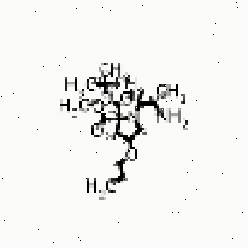 C=CCOC1CN(C(=O)[C@H](C)N)[C@@](C(=O)OC)(C(=O)OC(C)(C)C)C1